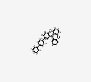 c1ccc2c(c1)Oc1cccc3c1B2c1cc(-c2ccc(-c4ccncc4)cc2)ccc1O3